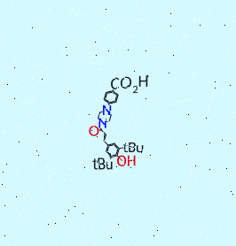 CC(C)(C)c1cc(/C=C/C(=O)N2CCN(c3ccc(C(=O)O)cc3)CC2)cc(C(C)(C)C)c1O